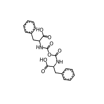 O=C(NC(Cc1ccccc1)C(=O)O)OC(=O)NC(Cc1ccccc1)C(=O)O